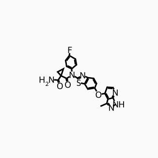 Cc1n[nH]c2nccc(Oc3ccc4nc(N(C(=O)C5(C(N)=O)CC5)c5ccc(F)cc5)sc4c3)c12